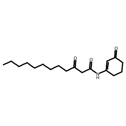 CCCCCCCCCC(=O)CC(=O)NC1=CC(=O)CCC1